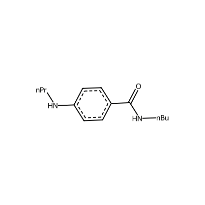 CCCCNC(=O)c1ccc(NCCC)cc1